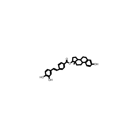 CC12CCC3c4ccc(O)cc4CCC3C1CCC2OC(=O)c1ccc(C=Cc2ccc(O)c(O)c2)cc1